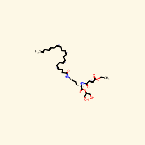 C=CCC=CC/C=C\C/C=C\C/C=C\C/C=C\CCC(=O)NCCCC[C@H](NC(=O)/C=C/C(=O)OCC)C(=O)OC(CO)CO